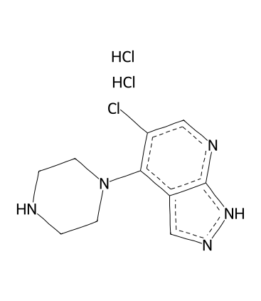 Cl.Cl.Clc1cnc2[nH]ncc2c1N1CCNCC1